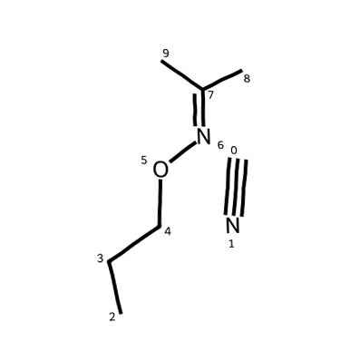 C#N.CCCON=C(C)C